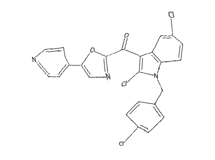 O=C(c1ncc(-c2ccncc2)o1)c1c(Cl)n(Cc2ccc(Cl)cc2)c2ccc(Cl)cc12